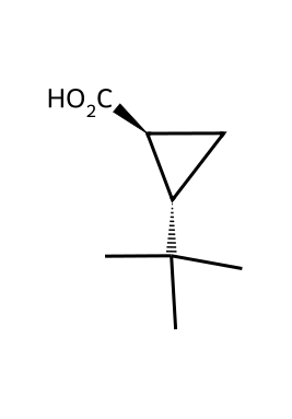 CC(C)(C)[C@H]1C[C@@H]1C(=O)O